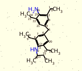 CCc1cc(Cc2cc(CC)c(NC(C)CC)c(CC)c2)cc(CC)c1N